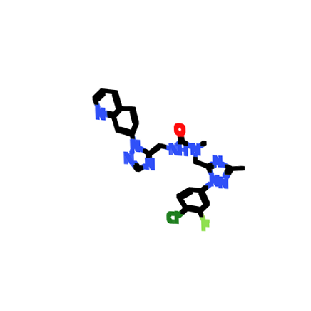 Cc1nc(CN(C)C(=O)NCc2ncnn2-c2ccc3cccnc3c2)n(-c2ccc(Cl)c(F)c2)n1